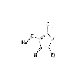 CCC1OC(C)=C(OC(C)(C)C)C1=O